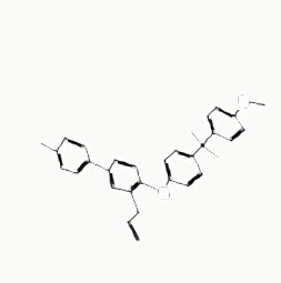 C=CCc1cc(-c2ccc(C)cc2)ccc1Oc1ccc(C(C)(C)c2ccc(OC)cc2)cc1